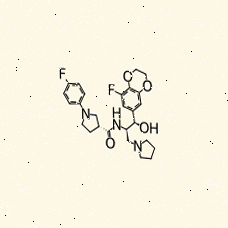 O=C(N[C@H](CN1CCCC1)[C@H](O)c1cc(F)c2c(c1)OCCO2)[C@@H]1CCN(c2ccc(F)cc2)C1